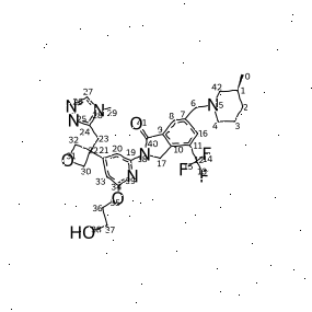 C[C@H]1CCCN(Cc2cc3c(c(C(F)(F)F)c2)CN(c2cc(C4(Cc5nncn5C)COC4)cc(OCCO)n2)C3=O)C1